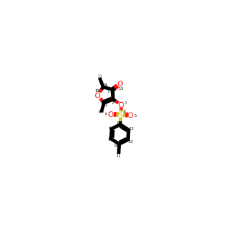 CC1=C(OS(=O)(=O)c2ccc(C)cc2)C(=O)C(C)O1